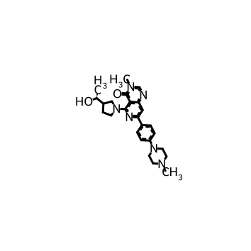 C[C@@H](O)C1CCN(c2nc(-c3ccc(N4CCN(C)CC4)cc3)cc3ncn(C)c(=O)c23)C1